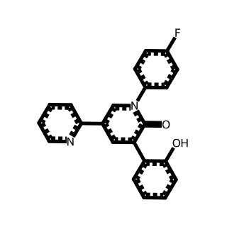 O=c1c(-c2ccccc2O)cc(-c2ccccn2)cn1-c1ccc(F)cc1